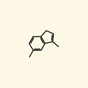 CC1=CCc2ccc(C)cc21